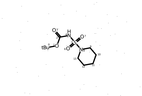 CC(C)(C)OC(=O)NS(=O)(=O)N1CCCCC1